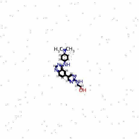 CN(C)C1CCC(Nc2ncnc3ccc(-c4cnc(NCCO)nc4)cc23)CC1